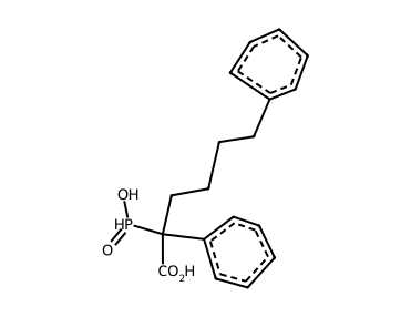 O=C(O)C(CCCCc1ccccc1)(c1ccccc1)[PH](=O)O